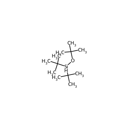 CC(C)(C)O[SiH](C(C)(C)C)C(C)(C)C